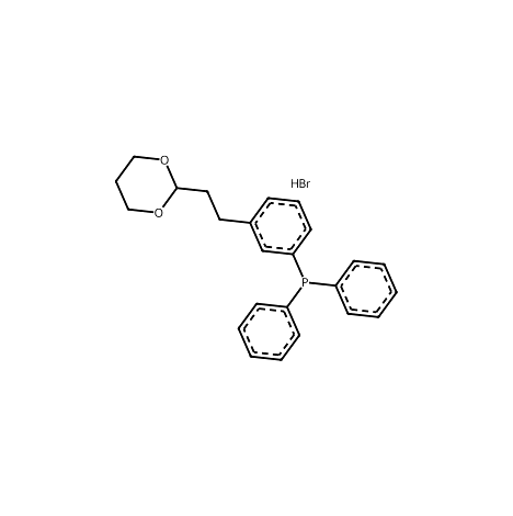 Br.c1ccc(P(c2ccccc2)c2cccc(CCC3OCCCO3)c2)cc1